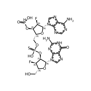 Nc1nc2c(ncn2[C@@H]2O[C@H](CO)[C@@H](F)[C@H]2OP(O)(=S)OC[C@H]2O[C@@H](n3cnc4c(N)ncnc43)[C@H](F)[C@@H]2O[PH](=O)O)c(=O)[nH]1